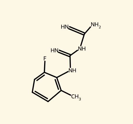 Cc1cccc(F)c1NC(=N)NC(=N)N